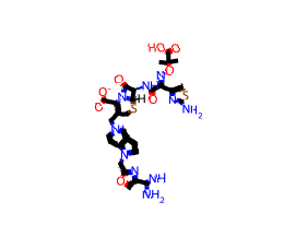 CC(C)(ON=C(C(=O)N[C@@H]1C(=O)N2C(C(=O)[O-])=C(C[n+]3ccc4c(ccn4Cc4nc(C(=N)N)co4)c3)CS[C@H]12)c1csc(N)n1)C(=O)O